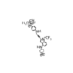 CN(C)S(=O)(=O)c1ccc(NCC#Cc2cc3c(NC4CCS(=O)(=O)CC4)cccc3n2CC(F)(F)F)cc1